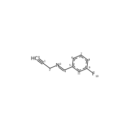 C#CCN=Cc1cccc(F)c1